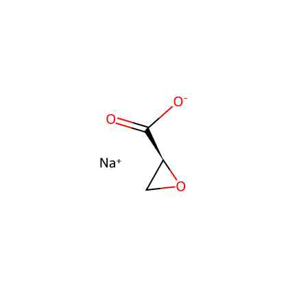 O=C([O-])[C@@H]1CO1.[Na+]